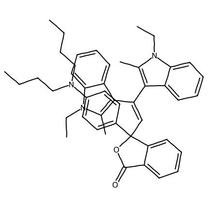 CCCCN(CCCC)c1ccc(C2(C=C(c3c(C)n(CC)c4ccccc34)c3c(C)n(CC)c4ccccc34)OC(=O)c3ccccc32)cc1